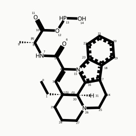 CC[C@@]12C=C(C(=O)N[C@H](C)C(=O)OPO)n3c4c(c5ccccc53)CCN(CCC1)[C@H]42